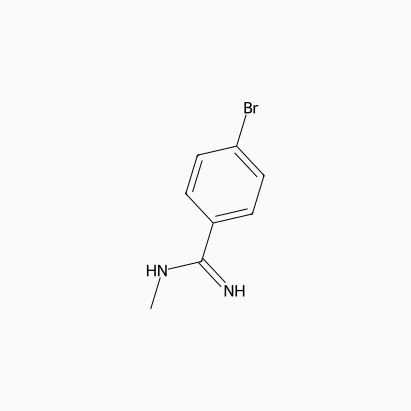 CNC(=N)c1ccc(Br)cc1